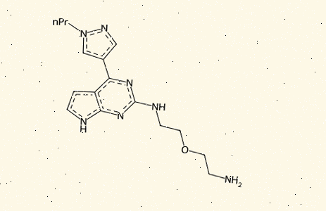 CCCn1cc(-c2nc(NCCOCCN)nc3[nH]ccc23)cn1